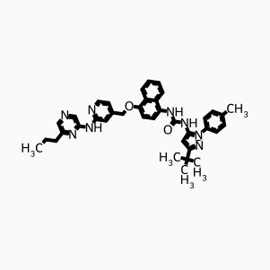 CCCc1cncc(Nc2cc(COc3ccc(NC(=O)Nc4cc(C(C)(C)C)nn4-c4ccc(C)cc4)c4ccccc34)ccn2)n1